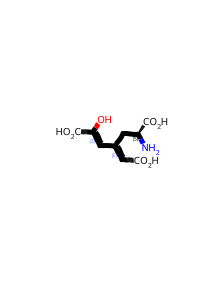 N[C@@H](CC(/C=C(\O)C(=O)O)=C\C(=O)O)C(=O)O